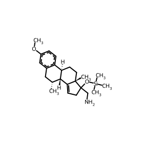 COc1ccc2c(c1)C[C@@H](C)[C@H]1C3=CCC(CN)(O[Si](C)(C)C)[C@@]3(C)CC[C@H]21